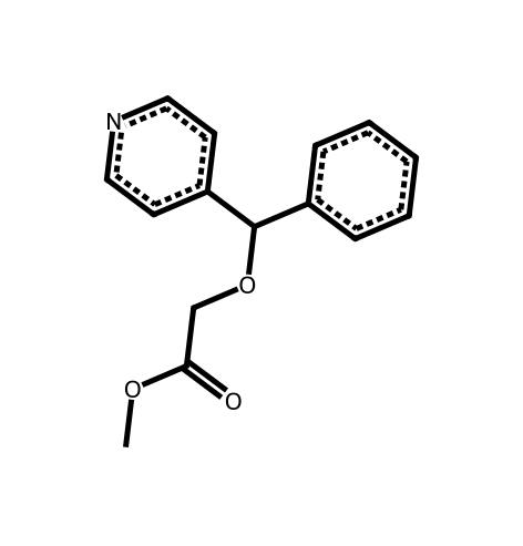 COC(=O)COC(c1ccccc1)c1ccncc1